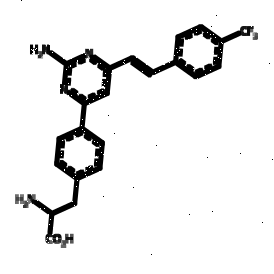 Nc1nc(C=Cc2ccc(C(F)(F)F)cc2)cc(-c2ccc(CC(N)C(=O)O)cc2)n1